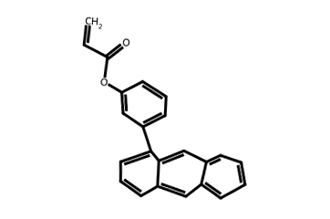 C=CC(=O)Oc1cccc(-c2cccc3cc4ccccc4cc23)c1